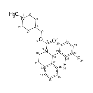 CN1CCC(COC(=O)N2CCc3ccccc3C2c2cccc(F)c2F)CC1